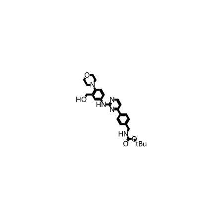 CC(C)(C)OC(=O)NCc1ccc(-c2ccnc(Nc3ccc(N4CCOCC4)c(CO)c3)n2)cc1